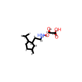 CC1CCC(C(C)C)C(CCNOC(=O)C(=O)O)C1